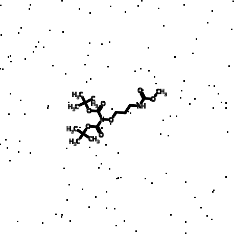 COC(=O)NCCCON(C(=O)OC(C)(C)C)C(=O)OC(C)(C)C